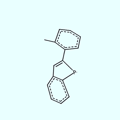 Cc1ccccc1C1=Cc2ccccc2[P]1